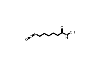 O=C=NCCCCCC(=O)NO